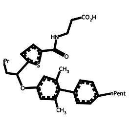 CCCCCc1ccc(-c2c(C)cc(OC(CC(C)C)c3ccc(C(=O)NCCC(=O)O)s3)cc2C)cc1